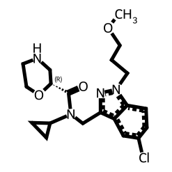 COCCCn1nc(CN(C(=O)[C@H]2CNCCO2)C2CC2)c2cc(Cl)ccc21